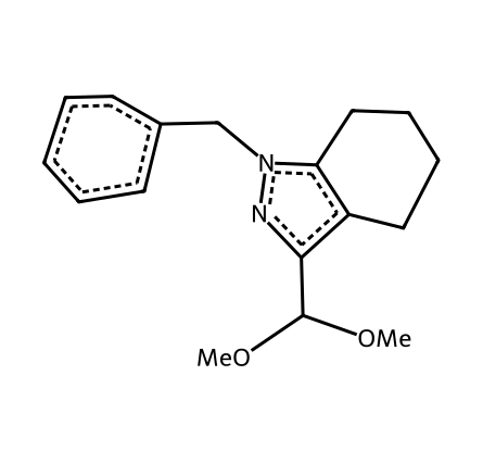 COC(OC)c1nn(Cc2ccccc2)c2c1CCCC2